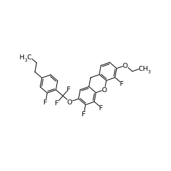 CCCc1ccc(C(F)(F)Oc2cc3c(c(F)c2F)Oc2c(ccc(OCC)c2F)C3)c(F)c1